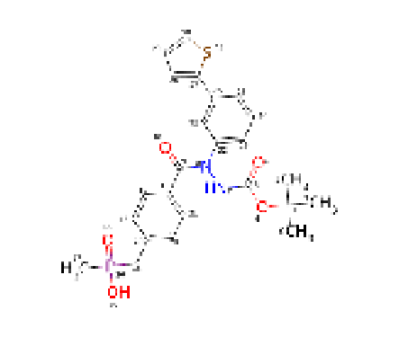 CC(C)(C)OC(=O)NN(C(=O)c1ccc(CP(C)(=O)O)cc1)c1cccc(-c2cccs2)c1